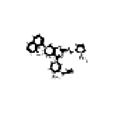 Cc1cccc2cccc(N3CCc4c(nc(OC[C@@H]5CCCN5C)nc4N4CC[C@@H](N)[C@@H](CC#N)C4)C3)c12